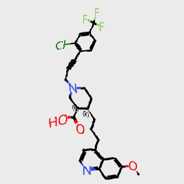 COc1ccc2nccc(CCC[C@@H]3CCN(CC#Cc4ccc(C(F)(F)F)cc4Cl)C[C@@H]3C(=O)O)c2c1